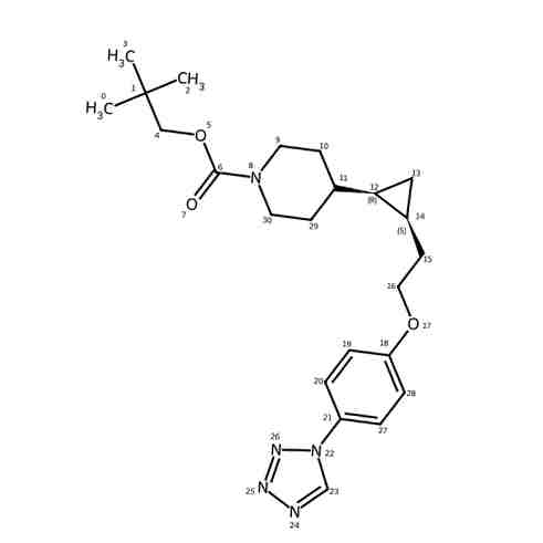 CC(C)(C)COC(=O)N1CCC([C@H]2C[C@H]2CCOc2ccc(-n3cnnn3)cc2)CC1